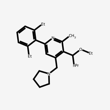 CCCC(OCC)c1c(CN2CCCC2)cc(-c2c(CC)cccc2CC)nc1C